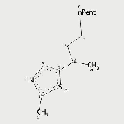 CCCCCCCC(C)c1cnc(C)s1